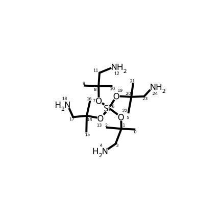 CC(C)(CN)O[Si](OC(C)(C)CN)(OC(C)(C)CN)OC(C)(C)CN